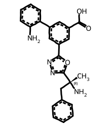 C[C@@](N)(Cc1ccccc1)c1nnc(-c2cc(C(=O)O)cc(-c3ccccc3N)c2)o1